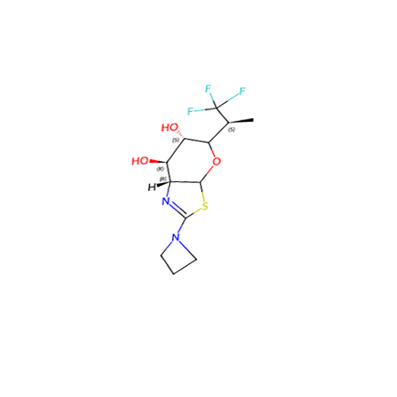 C[C@@H](C1OC2SC(N3CCC3)=N[C@@H]2[C@@H](O)[C@@H]1O)C(F)(F)F